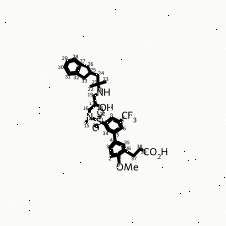 COc1ccc(-c2cc(C(F)(F)F)cc(S(=O)(=O)N(C)CC(O)CNC(C)(C)CC3Cc4ccccc4C3)c2)cc1CCC(=O)O